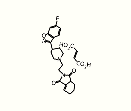 O=C(O)C=CC(=O)O.O=C1C2=CCCCC2C(=O)N1CCN1CCC(c2noc3cc(F)ccc23)CC1